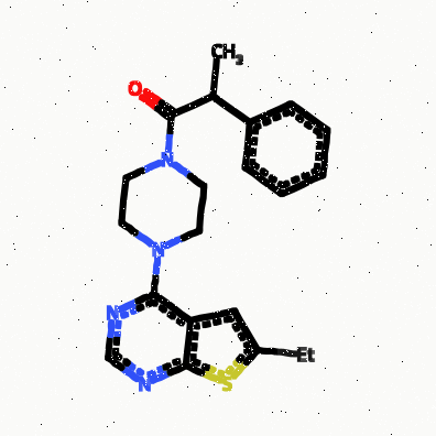 CCc1cc2c(N3CCN(C(=O)C(C)c4ccccc4)CC3)ncnc2s1